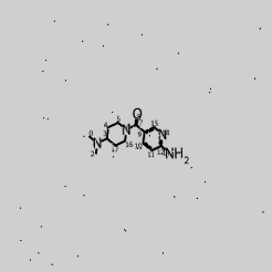 CN(C)C1CCN(C(=O)c2ccc(N)nc2)CC1